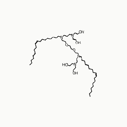 CCCCCCCC/C=C\CCCCCCCCN(CCCN(CCO)CCO)CCOCCOCCN(CCCCCCCC/C=C\CCCCCCCC)CCN(CCO)CCO